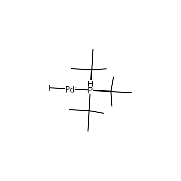 CC(C)(C)[PH]([Pd-][I])(C(C)(C)C)C(C)(C)C